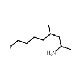 CC(N)CC(C)CCCCI